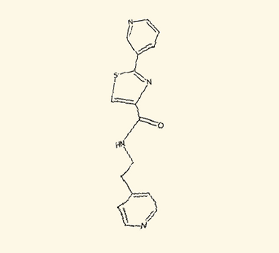 O=C(NCCc1ccncc1)c1csc(-c2cccnc2)n1